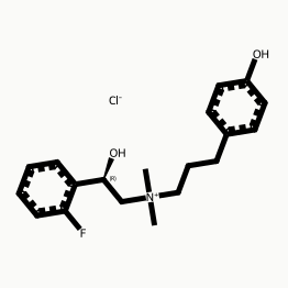 C[N+](C)(CCCc1ccc(O)cc1)C[C@H](O)c1ccccc1F.[Cl-]